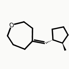 C[C@@H]1CCC[C@H]1/C=C1/CCCOCC1